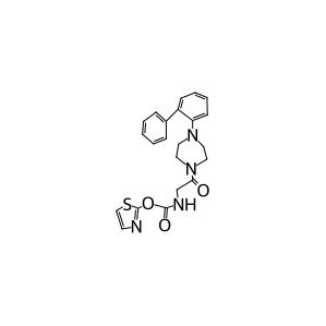 O=C(NCC(=O)N1CCN(c2ccccc2-c2ccccc2)CC1)Oc1nccs1